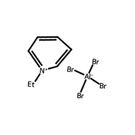 CC[n+]1ccccc1.[Br][Al-]([Br])([Br])[Br]